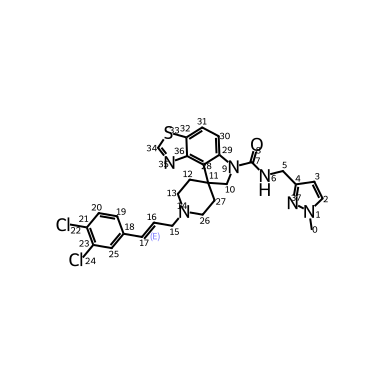 Cn1ccc(CNC(=O)N2CC3(CCN(C/C=C/c4ccc(Cl)c(Cl)c4)CC3)c3c2ccc2scnc32)n1